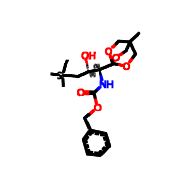 CC12COC([C@@H](NC(=O)OCc3ccccc3)[C@@H](O)C[Si](C)(C)C)(OC1)OC2